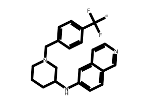 FC(F)(F)c1ccc(CN2CCCC(Nc3ccc4cnccc4c3)C2)cc1